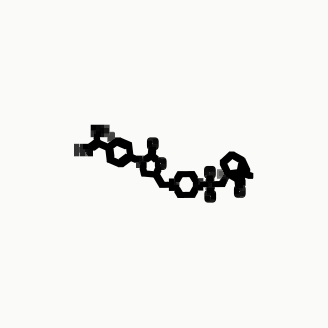 CC1(C)C2CC[C@@]1(CS(=O)(=O)N1CCN(CC3CN(c4ccc(C(=N)N)cc4)C(=O)O3)CC1)C(=O)C2